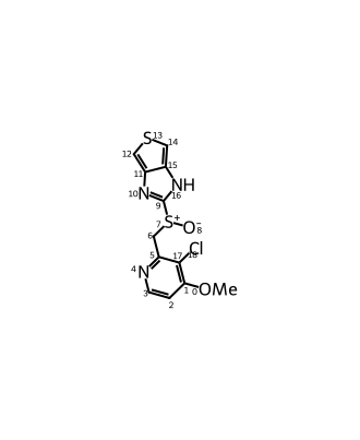 COc1ccnc(C[S+]([O-])c2nc3cscc3[nH]2)c1Cl